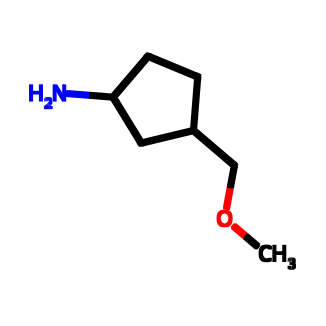 COCC1CCC(N)C1